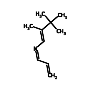 C=C/C=N\C=C(/C)C(C)(C)C